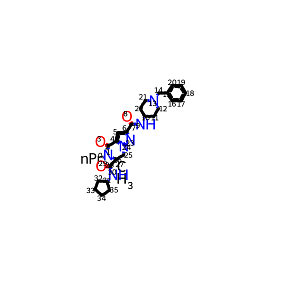 CCCN1C(=O)c2cc(C(=O)NC3CCN(Cc4ccccc4)CC3)nn2C[C@@]1(C)C(=O)NC1CCCC1